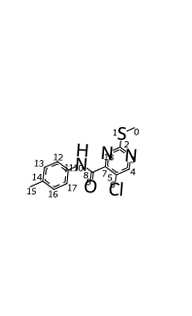 CSc1ncc(Cl)c(C(=O)Nc2ccc(C)cc2)n1